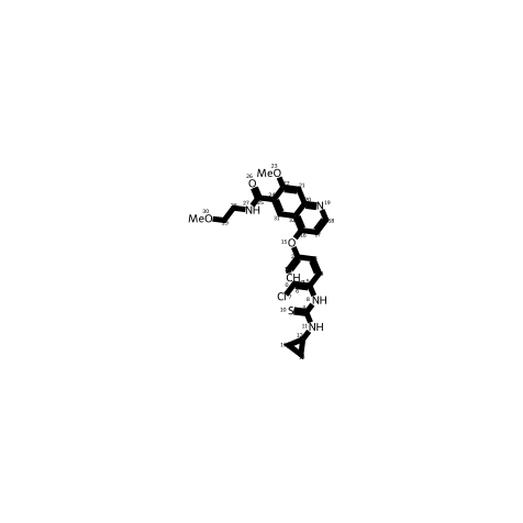 C\C=C(/C=C\C(=C\Cl)NC(=S)NC1CC1)Oc1ccnc2cc(OC)c(C(=O)NCCOC)cc12